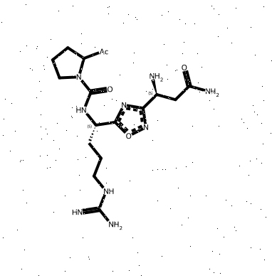 CC(=O)C1CCCN1C(=O)N[C@@H](CCCNC(=N)N)c1nc([C@@H](N)CC(N)=O)no1